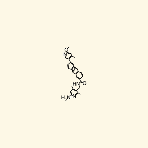 COc1cc(C)c(-c2ccc3c(c2)c2oc3c3cc(C(=O)NCc4c(C)cc(N)nc4C)ccc32)cn1